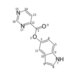 O=C(Oc1ccc2[nH]ccc2c1)c1ccncn1